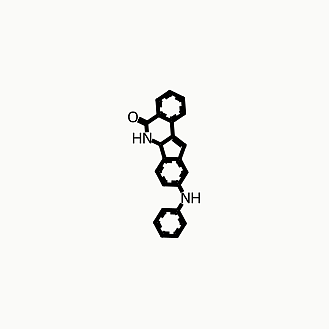 O=C1NC2C(=Cc3cc(Nc4ccccc4)ccc32)c2ccccc21